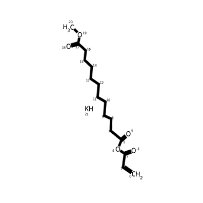 C=CC(=O)OC(=O)CCCCCCCCCCC(=O)OC.[KH]